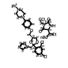 CC(C)N1CCN(c2ccc(OC[C@H]3CO[C@](Cn4cncn4)(c4ccc(Cl)cc4Cl)O3)cc2)CC1.CCCCC(CC)C1NC(=O)N(SC(Cl)(Cl)Cl)C1=O